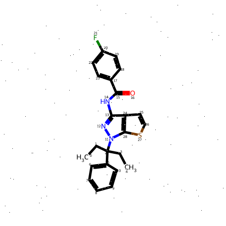 CCC(CC)(c1ccccc1)n1nc(NC(=O)c2ccc(F)cc2)c2ccsc21